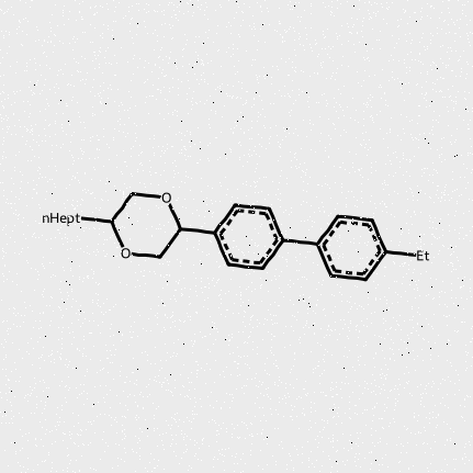 CCCCCCCC1COC(c2ccc(-c3ccc(CC)cc3)cc2)CO1